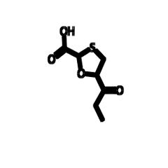 CCC(=O)C1CSC(C(=O)O)O1